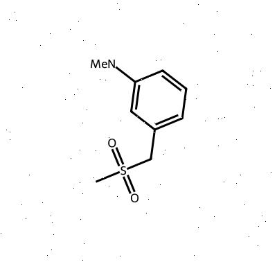 CNc1cccc(CS(C)(=O)=O)c1